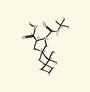 COC(=O)[C@@H]1C[C@]2(CN1C(=O)OC(C)(C)C)CC1(CCC1)C2(C)C